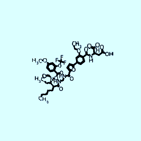 CCCCCC(C(=O)NCNC(=O)c1ccc(-c2ccc(C(=O)NC(CC(=O)O)C(=O)O)c(OCC)c2)o1)C(CC)N(C=O)OC(=O)c1ccc(OC)cc1OC(F)(F)F